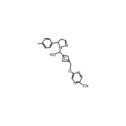 Cc1ccc(C2CC=NN2C(O)C23CC(COc4cnc(C#N)cn4)(C2)C3)cc1